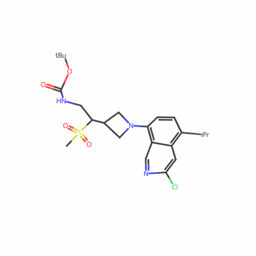 CC(C)c1ccc(N2CC(C(CNC(=O)OC(C)(C)C)S(C)(=O)=O)C2)c2cnc(Cl)cc12